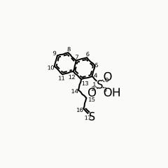 O=S(=O)(O)c1ccc2ccccc2c1CCC=S